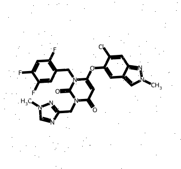 Cn1cnc(Cn2c(=O)cc(Oc3cc4cn(C)nc4cc3Cl)n(Cc3cc(F)c(F)cc3F)c2=O)n1